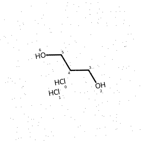 Cl.Cl.OCCCO